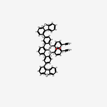 N#Cc1ccc(N2B3c4c(cccc4-c4cc(-c5cccc6oc7ccccc7c56)ccc4N3c3ccc(C#N)cc3)-c3cc(-c4cccc5oc6ccccc6c45)ccc32)cc1